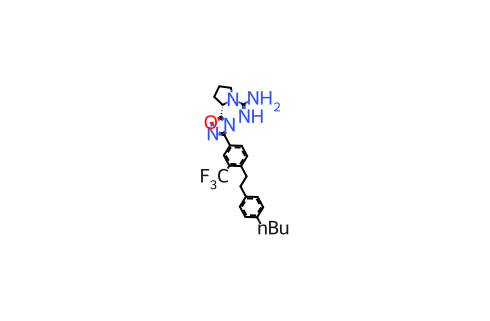 CCCCc1ccc(CCc2ccc(-c3noc([C@@H]4CCCN4C(=N)N)n3)cc2C(F)(F)F)cc1